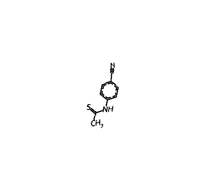 CC(=S)Nc1ccc(C#N)cc1